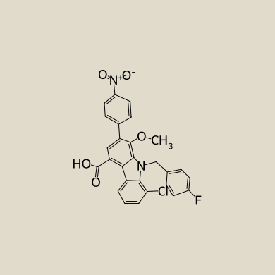 COc1c(-c2ccc([N+](=O)[O-])cc2)cc(C(=O)O)c2c3cccc(Cl)c3n(Cc3ccc(F)cc3)c12